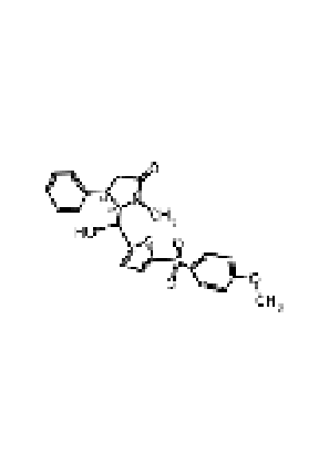 COc1ccc(S(=O)(=O)c2ccc(C(O)[C@H]3[C@@H](c4ccccc4)CC(=O)N3C)s2)cc1